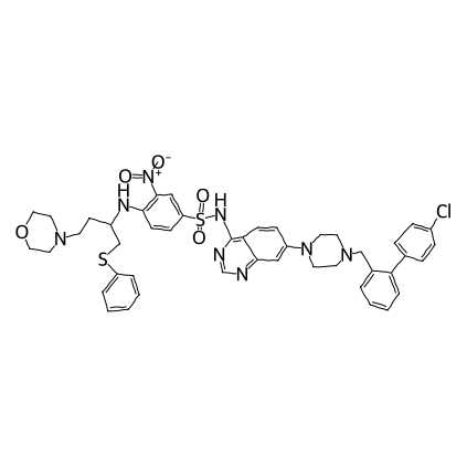 O=[N+]([O-])c1cc(S(=O)(=O)Nc2ncnc3cc(N4CCN(Cc5ccccc5-c5ccc(Cl)cc5)CC4)ccc23)ccc1NC(CCN1CCOCC1)CSc1ccccc1